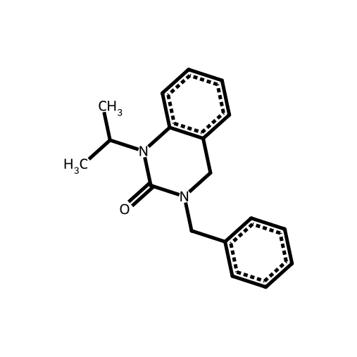 CC(C)N1C(=O)N(Cc2ccccc2)Cc2ccccc21